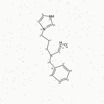 C=CC(CCC[n+]1cc[nH]c1)Cc1ccccc1.[Cl-]